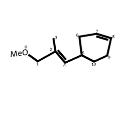 COC/C(C)=C/C1CC=CCC1